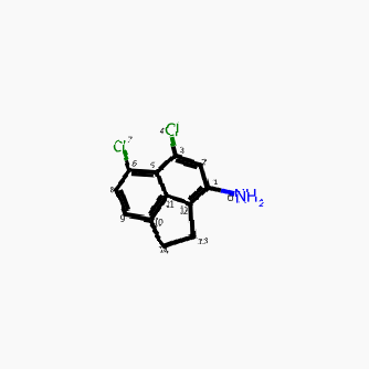 Nc1cc(Cl)c2c(Cl)ccc3c2c1CC3